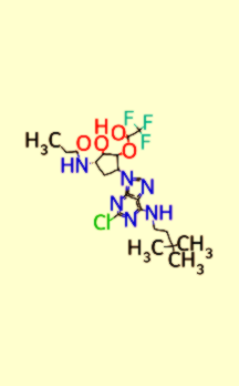 CCC(=O)N[C@H]1C[C@@H](n2cnc3c(NCCC(C)(C)C)nc(Cl)nc32)[C@H](OC(=O)C(F)(F)F)[C@@H]1O